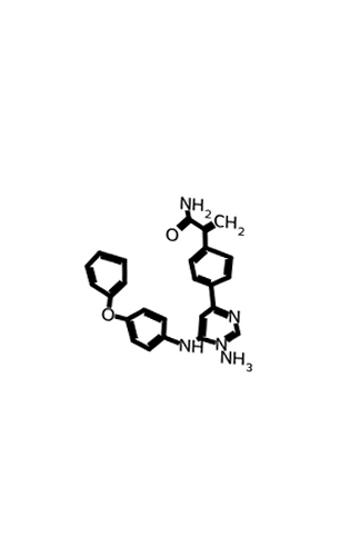 C=C(C(N)=O)c1ccc(-c2cc(Nc3ccc(Oc4ccccc4)cc3)ncn2)cc1.N